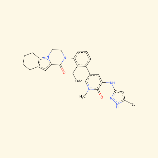 CCc1cc(Nc2cc(-c3cccc(N4CCn5c(cc6c5CCCC6)C4=O)c3COC(C)=O)cn(C)c2=O)n[nH]1